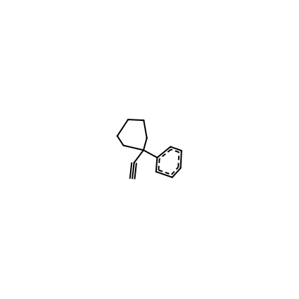 C#CC1(c2ccccc2)CCCCC1